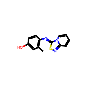 Cc1cc(O)ccc1N=c1snc2ccccn12